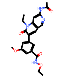 CCONC(=O)c1cc(OC)cc(-c2cc3cnc(NC(C)=O)cc3n(CC)c2=O)c1